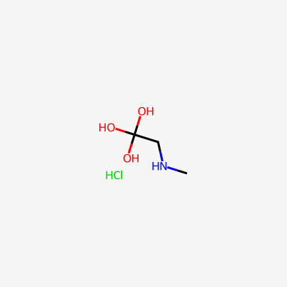 CNCC(O)(O)O.Cl